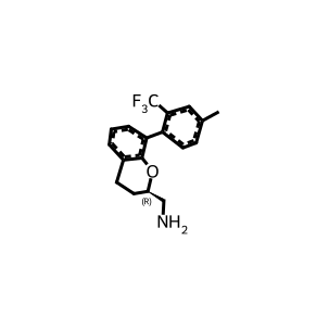 Cc1ccc(-c2cccc3c2O[C@@H](CN)CC3)c(C(F)(F)F)c1